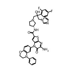 Nc1nc2sc(C(=O)N[C@@H]3CCN(CC(O)(Cn4cncn4)c4ccc(F)cc4F)C3)cc2n(-c2ccc3c(c2)N(c2ccccc2)CCO3)c1=O